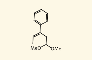 CC=C(CC(OC)OC)c1ccccc1